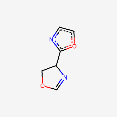 C1=NC(c2ncco2)CO1